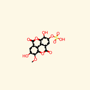 COc1c(O)cc2c(=O)oc3c(O)c(OS(=O)(=O)O)cc4c(=O)oc1c2c34